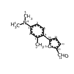 Cc1cc(N(C)C)ccc1-c1ccc(C=O)o1